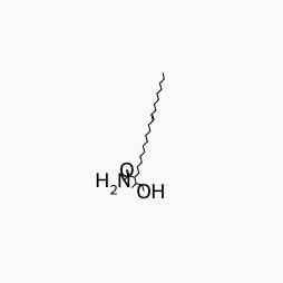 CCCCCCCCC=CCCCCCCCCCCC(C(N)=O)C(C)CO